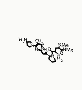 CNC(=O)C(CC(N)C(=O)N1CCCC[C@H]1c1cc2nc(N3CC[C@H](N)C3)c(C)cn2n1)NC